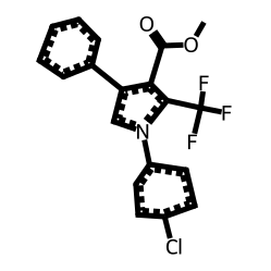 COC(=O)c1c(-c2ccccc2)cn(-c2ccc(Cl)cc2)c1C(F)(F)F